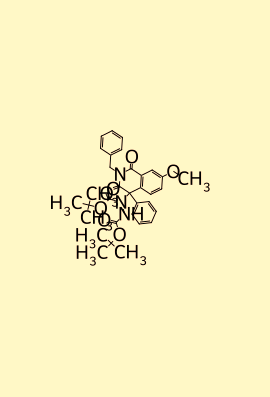 COc1ccc2c(c1)C(=O)N(Cc1ccccc1)C(=O)C2(c1ccccc1)N(NC(=O)OC(C)(C)C)C(=O)OC(C)(C)C